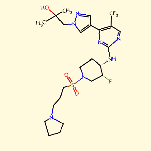 CC(C)(O)Cn1cc(-c2nc(N[C@H]3CCN(S(=O)(=O)CCCN4CCCC4)C[C@H]3F)ncc2C(F)(F)F)cn1